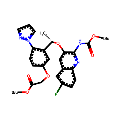 C[C@H](Oc1cc2cc(F)ccc2nc1NC(=O)OC(C)(C)C)c1cc(OCC(=O)OC(C)(C)C)ccc1-n1cccn1